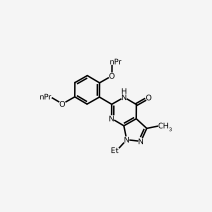 CCCOc1ccc(OCCC)c(-c2nc3c(c(C)nn3CC)c(=O)[nH]2)c1